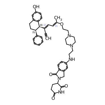 C#C/C(=C\C=C(/C)OCCN1CCN(CCNc2ccc3c(c2)CN(C2CCC(=O)NC2=O)C3=O)CC1)[C@@H]1c2ccc(O)cc2CC[C@@H]1c1ccccc1